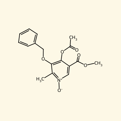 COC(=O)c1c[n+]([O-])c(C)c(OCc2ccccc2)c1OC(C)=O